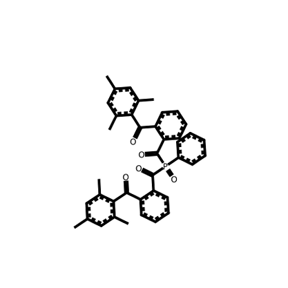 Cc1cc(C)c(C(=O)c2ccccc2C(=O)P(=O)(C(=O)c2ccccc2C(=O)c2c(C)cc(C)cc2C)c2ccccc2)c(C)c1